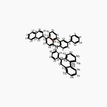 c1ccc(-c2ccc(N(c3ccc(-c4ccc5ccccc5c4)cc3)c3cccc(-c4cc5ccccc5c5ccccc45)c3)c(-c3ccccc3)c2)cc1